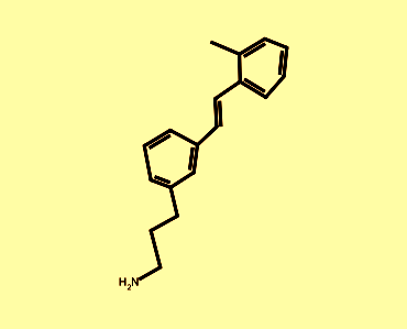 Cc1ccccc1C=Cc1cccc(CCCN)c1